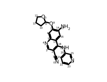 N#Cc1cnc2cc(OC3CCCO3)c(N)cc2c1Nc1cccnc1